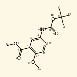 COC(=O)c1cc(NC(=O)OC(C)(C)C)ncc1OC